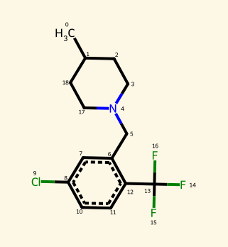 CC1CCN(Cc2cc(Cl)ccc2C(F)(F)F)CC1